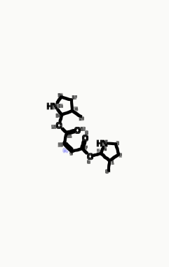 CC1CCNC1OC(=O)/C=C\C(=O)OC1NCCC1C